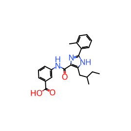 CCC(C)Cc1[nH]c(-c2ccccc2C)nc1C(=O)Nc1cccc(C(=O)O)c1